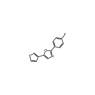 Fc1ccc(-c2ncc(-c3ccsc3)o2)cc1